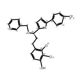 Oc1ccc(CC[C@@H](OCc2cccnc2)c2ccc(-c3ccc(C(F)(F)F)cc3)s2)c(Cl)c1Cl